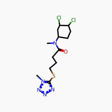 CN(C(=O)CCCSc1nnnn1C)C1CCC(Cl)C(Cl)C1